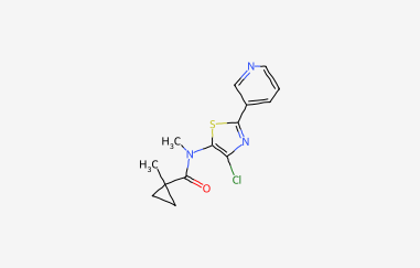 CN(C(=O)C1(C)CC1)c1sc(-c2cccnc2)nc1Cl